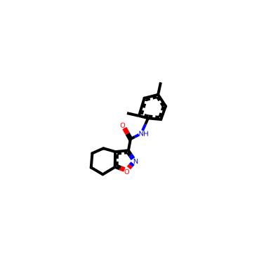 Cc1ccc(NC(=O)c2noc3c2CCCC3)c(C)c1